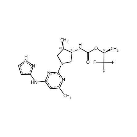 Cc1cc(Nc2cc[nH]n2)nc(N2C[C@@H](C)[C@H](NC(=O)O[C@@H](C)C(F)(F)F)C2)n1